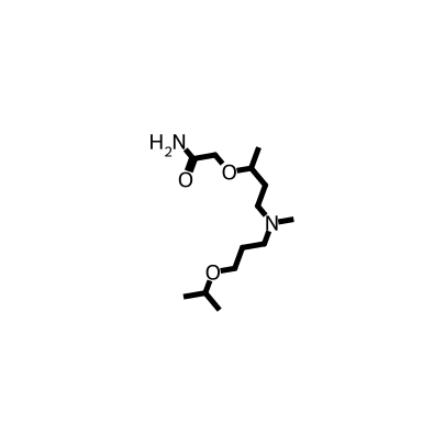 CC(C)OCCCN(C)CCC(C)OCC(N)=O